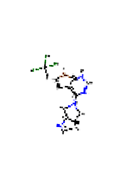 FC(F)(F)Cc1cc2c(N3CC4CCNC4C3)ncnc2s1